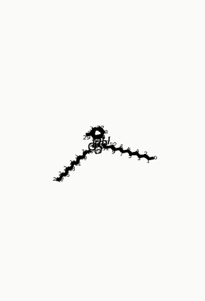 CCCCCCCCCCCCOP(=O)(O)OCCCCCCCCCCCC.Cc1ccccc1